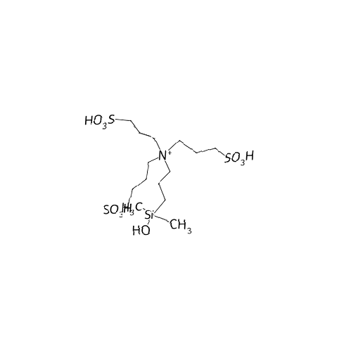 C[Si](C)(O)CCC[N+](CCCS(=O)(=O)O)(CCCS(=O)(=O)O)CCCS(=O)(=O)O